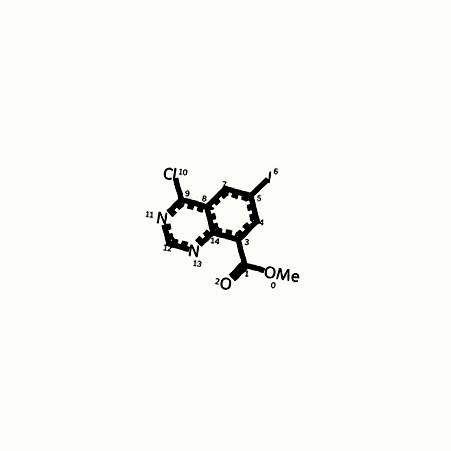 COC(=O)c1cc(I)cc2c(Cl)ncnc12